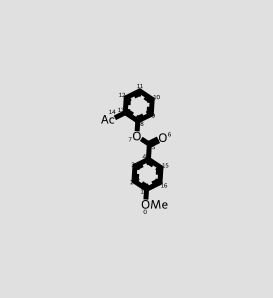 COc1ccc(C(=O)Oc2ccccc2C(C)=O)cc1